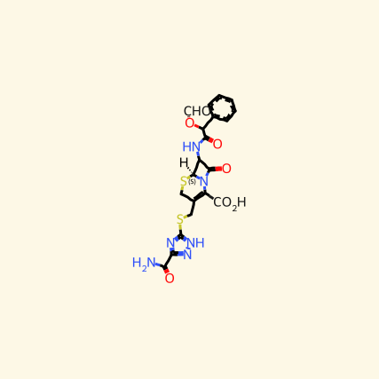 NC(=O)c1n[nH]c(SCC2=C(C(=O)O)N3C(=O)C(NC(=O)C(OC=O)c4ccccc4)[C@@H]3SC2)n1